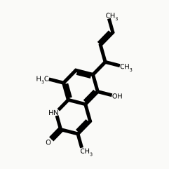 CC=CC(C)c1cc(C)c2[nH]c(=O)c(C)cc2c1O